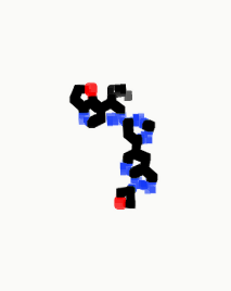 CC(CNc1cc(-c2cnc3c(cnn3C3COC3)c2)ncn1)c1ccnc2c1OCC2